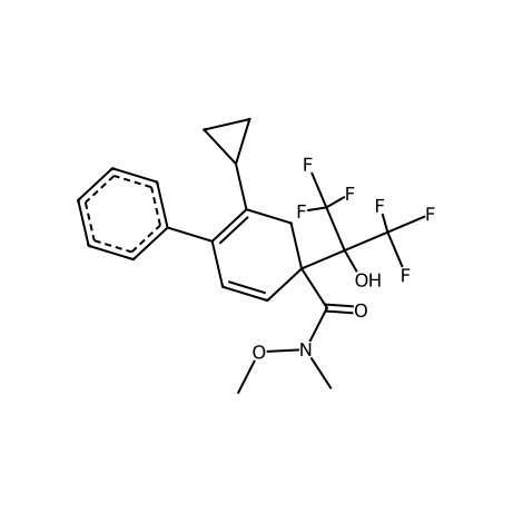 CON(C)C(=O)C1(C(O)(C(F)(F)F)C(F)(F)F)C=CC(c2ccccc2)=C(C2CC2)C1